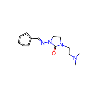 CN(C)CCN1CCN(N=Cc2ccccc2)C1=O